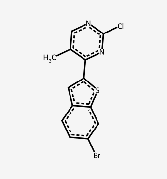 Cc1cnc(Cl)nc1-c1cc2ccc(Br)cc2s1